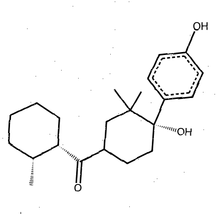 C[C@@H]1CCCC[C@@H]1C(=O)C1CC[C@](O)(c2ccc(O)cc2)C(C)(C)C1